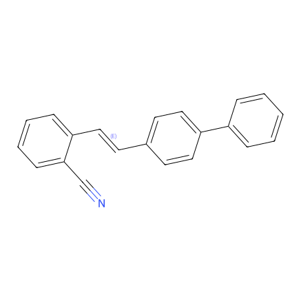 N#Cc1ccccc1/C=C/c1ccc(-c2ccccc2)cc1